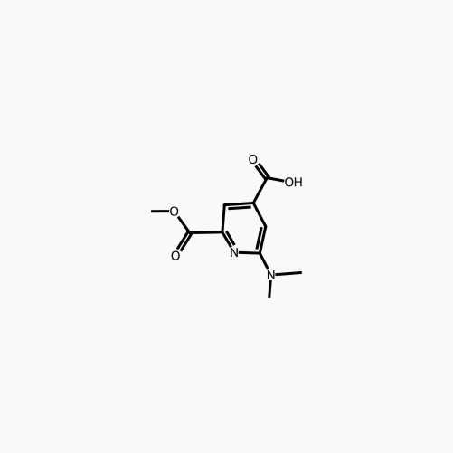 COC(=O)c1cc(C(=O)O)cc(N(C)C)n1